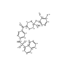 O=C(c1ccc(NS(=O)(=O)c2cccc3cccnc23)cc1)N1CCC(O)(Cc2cccc(F)c2F)CC1